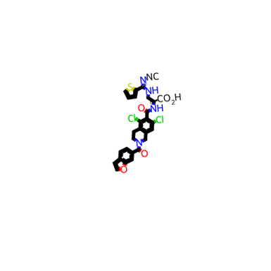 [C-]#[N+]/N=C(\NC[C@H](NC(=O)c1c(Cl)cc2c(c1Cl)CCN(C(=O)c1ccc3ccoc3c1)C2)C(=O)O)c1cccs1